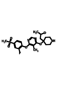 Cc1c(Oc2ccc(S(C)(=O)=O)cc2F)ncnc1OC1(CC(C)[O])CCNCC1